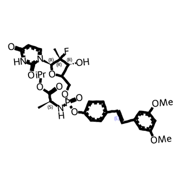 COc1cc(/C=C/c2ccc(OP(=O)(N[C@@H](C)C(=O)OC(C)C)OCC3O[C@@H](n4ccc(=O)[nH]c4=O)[C@](C)(F)[C@@H]3O)cc2)cc(OC)c1